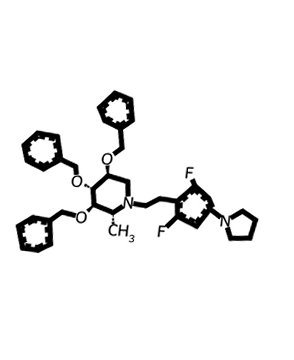 C[C@@H]1[C@@H](OCc2ccccc2)[C@H](OCc2ccccc2)[C@@H](OCc2ccccc2)CN1CCc1c(F)cc(N2CCCC2)cc1F